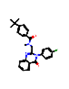 CN(Cc1nc2ccccc2c(=O)n1-c1ccc(F)cc1)C(=O)c1ccc(C(C)(C)C)cc1